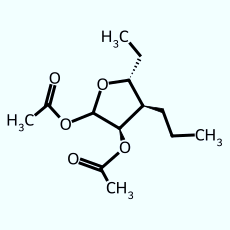 CCC[C@@H]1[C@@H](CC)OC(OC(C)=O)[C@@H]1OC(C)=O